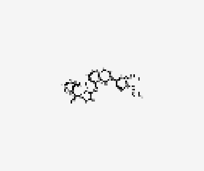 COc1ncc(N2CCc3ncnc(OC4CCN(C(=O)c5ocnc5C)C4)c3C2)cc1C